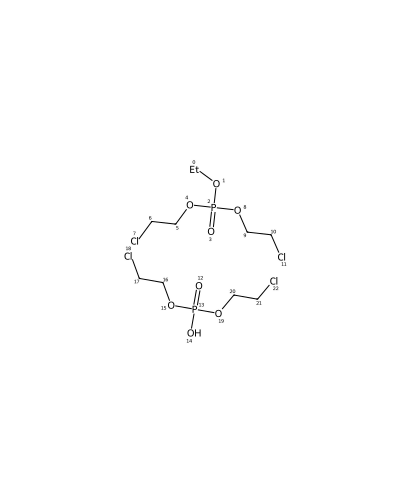 CCOP(=O)(OCCCl)OCCCl.O=P(O)(OCCCl)OCCCl